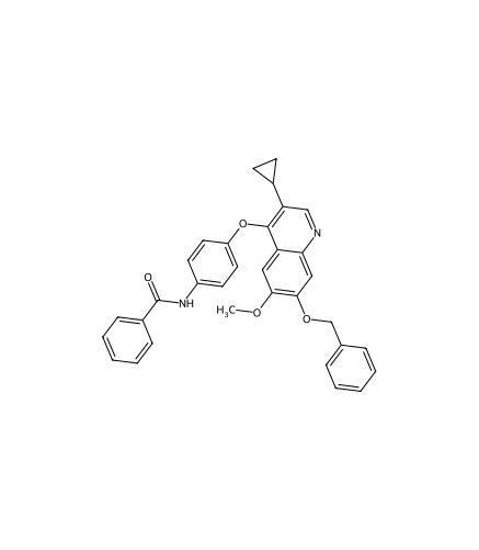 COc1cc2c(Oc3ccc(NC(=O)c4ccccc4)cc3)c(C3CC3)cnc2cc1OCc1ccccc1